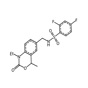 CCN1C(=O)OC(C)c2cc(CNS(=O)(=O)c3ccc(F)cc3F)ccc21